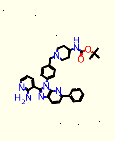 CC(C)(C)OC(=O)NC1CCN(Cc2ccc(-n3c(-c4cccnc4N)nc4ccc(-c5ccccc5)nc43)cc2)CC1